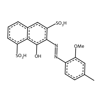 COc1cc(C)ccc1N=Nc1c(S(=O)(=O)O)cc2cccc(S(=O)(=O)O)c2c1O